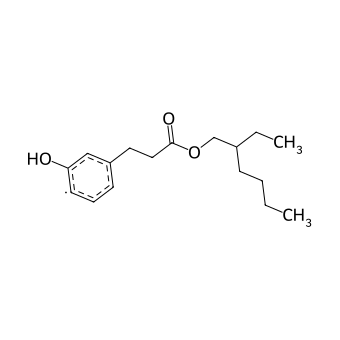 CCCCC(CC)COC(=O)CCc1cc[c]c(O)c1